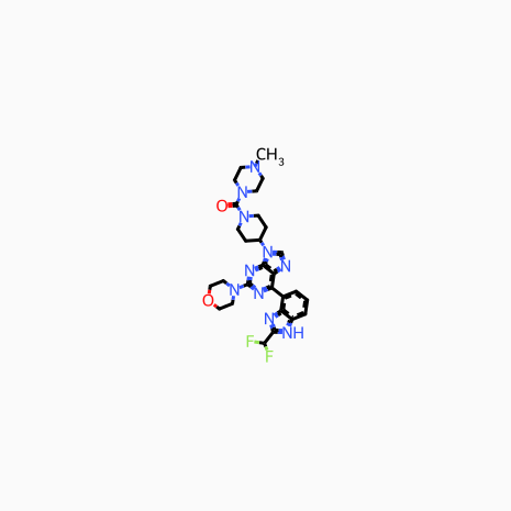 CN1CCN(C(=O)N2CCC(n3cnc4c(-c5cccc6[nH]c(C(F)F)nc56)nc(N5CCOCC5)nc43)CC2)CC1